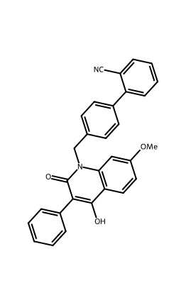 COc1ccc2c(O)c(-c3ccccc3)c(=O)n(Cc3ccc(-c4ccccc4C#N)cc3)c2c1